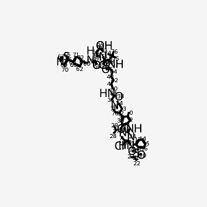 Cc1cc(Nc2ncc(Cl)c(Nc3ccccc3S(=O)(=O)C(C)C)n2)c(OC(C)C)cc1C1CCN(CC(=O)NCCCCCC(=O)NC(C(=O)N2C[C@H](O)C[C@H]2C(=O)NCc2ccc(-c3scnc3C)cc2)C(C)(C)C)CC1